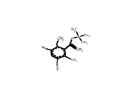 C=C(O[Si](C)(C)C)c1c(C)c([O])cc(C(C)(C)C)c1C